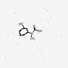 CN(C(=O)O)c1cccc(O)c1